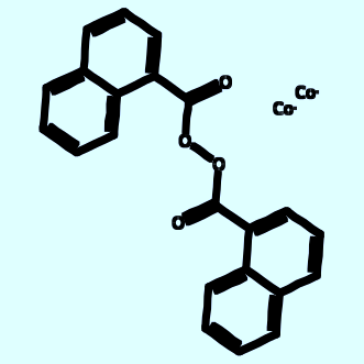 O=C(OOC(=O)c1cccc2ccccc12)c1cccc2ccccc12.[Co].[Co]